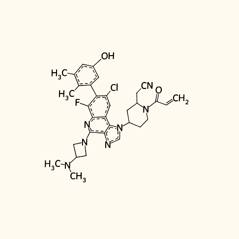 C=CC(=O)N1CCC(n2cnc3c(N4CC(N(C)C)C4)nc4c(F)c(-c5cc(O)cc(C)c5C)c(Cl)cc4c32)CC1CC#N